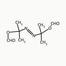 CC(C)(N=NC(C)(C)OC=O)OC=O